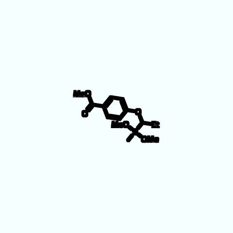 CCC(Oc1ccc(C(=O)OC)cc1)[Si](C)(OC)OC